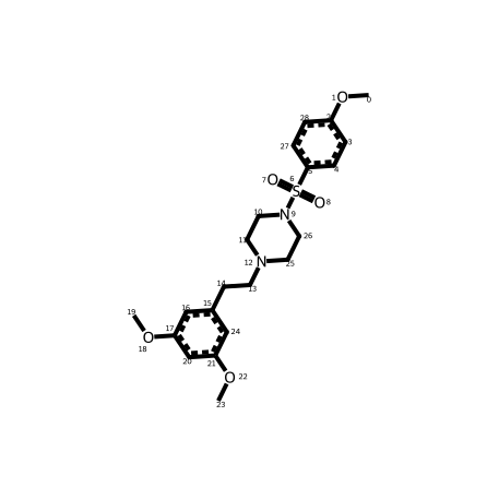 COc1ccc(S(=O)(=O)N2CCN(CCc3cc(OC)cc(OC)c3)CC2)cc1